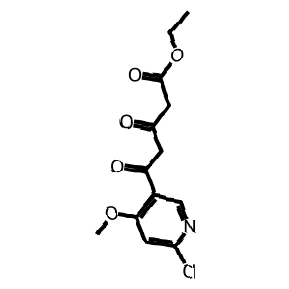 CCOC(=O)CC(=O)CC(=O)c1cnc(Cl)cc1OC